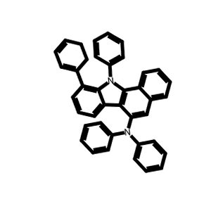 C1=CCCC(c2cccc3c4c(N(c5ccccc5)c5ccccc5)cc5ccccc5c4n(-c4ccccc4)c23)=C1